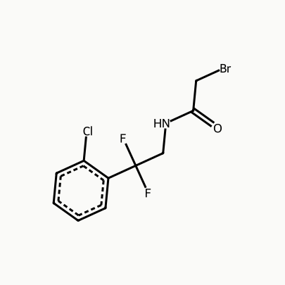 O=C(CBr)NCC(F)(F)c1ccccc1Cl